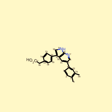 Cc1ccc(-c2cnc3[nH]cc(-c4ccc(CC(=O)O)cc4)c3c2)cc1C